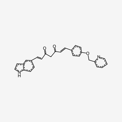 O=C(C=Cc1ccc(OCc2ccccn2)cc1)CC(=O)C=Cc1ccc2[nH]ccc2c1